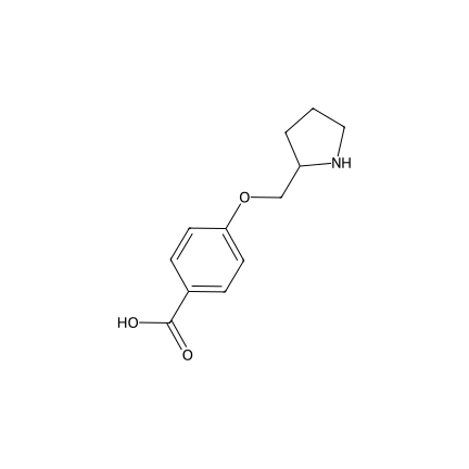 O=C(O)c1ccc(OCC2CCCN2)cc1